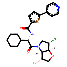 O=C(N[C@H](C(=O)N1C[C@H](Cl)[C@H]2OC[C@H](O)[C@H]21)C1CCCCC1)c1ccc(-c2ccncc2)s1